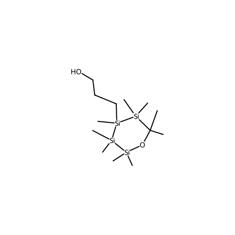 CC1(C)O[Si](C)(C)[Si](C)(C)[Si](C)(CCCO)[Si]1(C)C